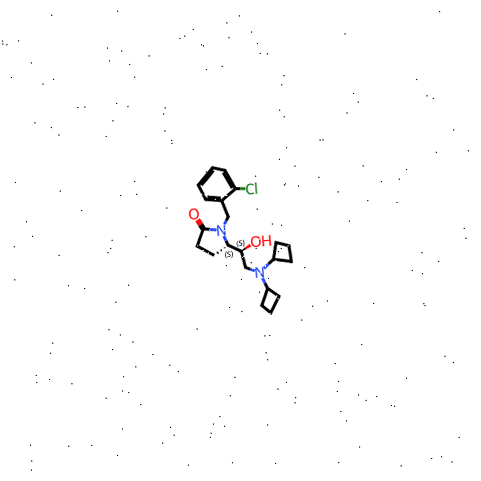 O=C1CC[C@@H]([C@@H](O)CN(C2CCC2)C2CCC2)N1Cc1ccccc1Cl